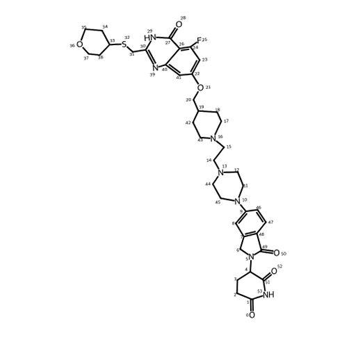 O=C1CCC(N2Cc3cc(N4CCN(CCN5CCC(COc6cc(F)c7c(=O)[nH]c(CSC8CCOCC8)nc7c6)CC5)CC4)ccc3C2=O)C(=O)N1